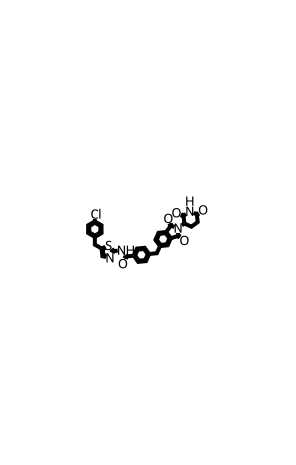 O=C1CCC(N2C(=O)c3ccc(Cc4ccc(C(=O)Nc5ncc(Cc6ccc(Cl)cc6)s5)cc4)cc3C2=O)C(=O)N1